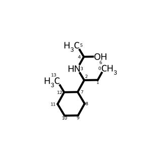 CCC(NC(C)O)C1CCCCC1C